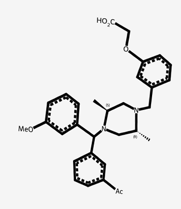 COc1cccc(C(c2cccc(C(C)=O)c2)N2C[C@@H](C)N(Cc3cccc(OCC(=O)O)c3)C[C@@H]2C)c1